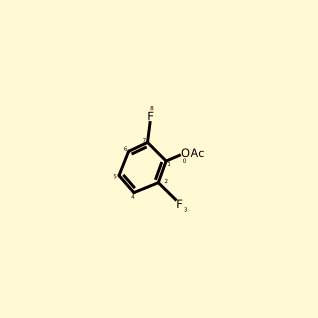 CC(=O)Oc1c(F)cccc1F